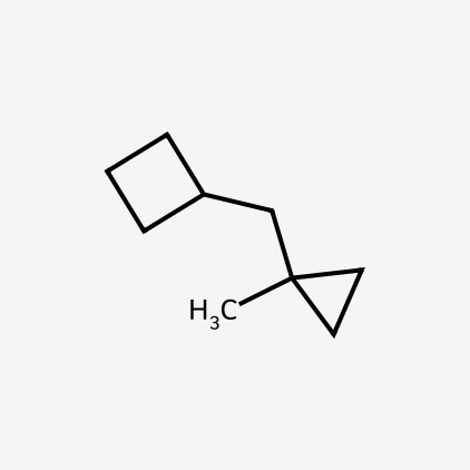 CC1(CC2CCC2)CC1